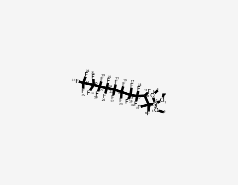 CO[Si](OC)(OC)C(F)(F)C(F)C(F)(F)C(F)(F)C(F)(F)C(F)(F)C(F)(F)C(F)(F)C(F)(F)C(F)(F)F